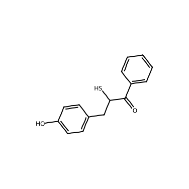 O=C(c1ccccc1)C(S)Cc1ccc(O)cc1